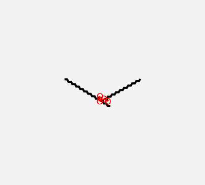 CCCCCCCCCCCCCCCCCC(=O)OC(CCCC)OC(=O)CCCCCCCCCCCCCCCCC